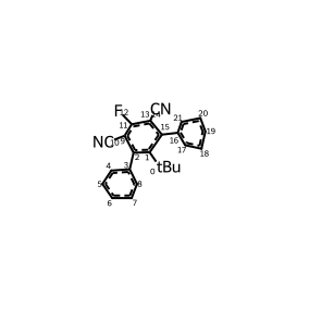 CC(C)(C)c1c(-c2ccccc2)c(C#N)c(F)c(C#N)c1-c1ccccc1